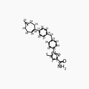 Cc1cc(C(N)=O)nn1-c1ccc(Cc2ccc(C3=CCCN(C)CC3)cc2)cc1